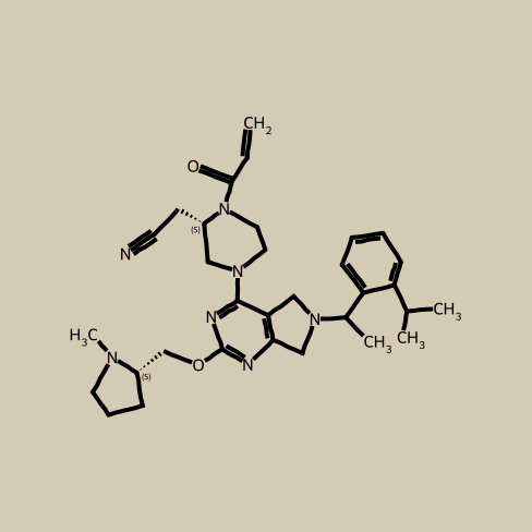 C=CC(=O)N1CCN(c2nc(OC[C@@H]3CCCN3C)nc3c2CN(C(C)c2ccccc2C(C)C)C3)C[C@@H]1CC#N